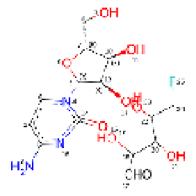 Nc1ccn([C@@H]2O[C@H](CO)[C@@H](O)[C@H]2O)c(=O)n1.O=CC(O)C(O)C(O)CF